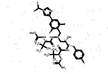 COC(=O)N[C@H](C(=O)NN(Cc1c(F)cc(-c2cn(C(F)F)cn2)cc1F)C[C@H](O)[C@H](Cc1ccc(I)cc1)NC(=O)[C@@H](OC(N)=O)C(C)(C)C(F)(F)F)C(C)(C)C(F)(F)F